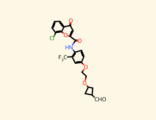 O=CC1CC(OCCOc2ccc(NC(=O)c3cc(=O)c4cccc(Cl)c4o3)c(C(F)(F)F)c2)C1